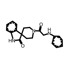 O=C(CNc1ccccc1)N1CCC2(CC1)C(=O)Nc1ccccc12